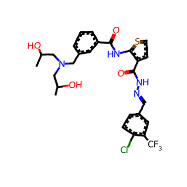 CC(O)CN(Cc1cccc(C(=O)Nc2sccc2C(=O)N/N=C/c2ccc(Cl)c(C(F)(F)F)c2)c1)CC(C)O